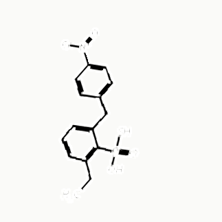 CCc1cccc(Cc2ccc([N+](=O)[O-])cc2)c1P(=O)(O)S